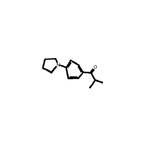 CC(C)C(=O)c1ccc(N2CCCC2)cc1